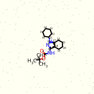 CC(C)(C)OC(=O)Nc1nn(C2CCCCC2)c2c1CCCC2